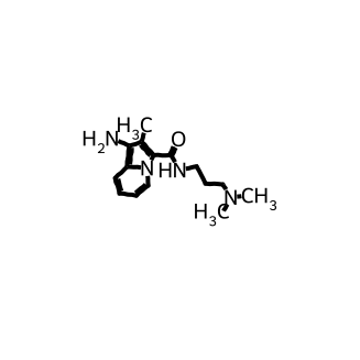 Cc1c(N)c2ccccn2c1C(=O)NCCCN(C)C